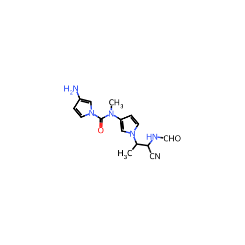 CC(C(C#N)NC=O)n1ccc(N(C)C(=O)n2ccc(N)c2)c1